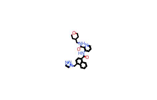 O=C(NCC1CCOCC1)c1n[c]ccc1NC(=O)c1ccc(Cn2ccnn2)c2ccccc12